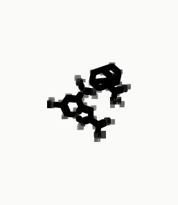 NC(=O)C12CC3CC(CC(C3)C1)C2.O=C(O)c1cc2c([N+](=O)[O-])cc(Br)cn2n1